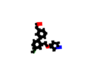 OCc1cccc(-c2ccc(F)cc2CO[C@H]2CCNC2)c1